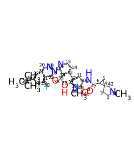 CN1CCC2(CC2C(=O)Nc2cc(-c3ccnc(-n4ncc5cc(C(C)(C)C)cc(F)c5c4=O)c3CO)cn(C)c2=O)C1